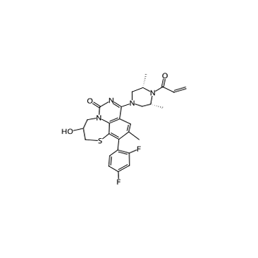 C=CC(=O)N1[C@H](C)CN(c2nc(=O)n3c4c(c(-c5ccc(F)cc5F)c(C)cc24)SCC(O)C3)C[C@@H]1C